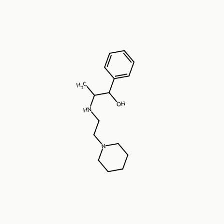 CC(NCCN1CCCCC1)C(O)c1ccccc1